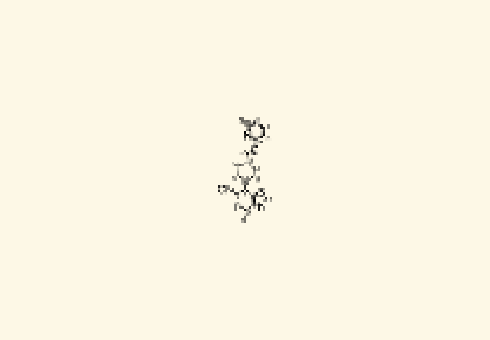 O=NCC(c1scnc1C(F)F)N1CCC(COc2cccc(F)n2)CC1